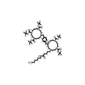 CC(C)(C)OC(=O)N1CCCN(C(=O)OC(C)(C)C)CCN(CCCCC(=O)NCCCCCN)CCC(Cc2ccc(CN3CCCN(C(=O)OC(C)(C)C)CCN(C(=O)OC(C)(C)C)CCCN(C(=O)OC(C)(C)C)CC3)cc2)NCC1